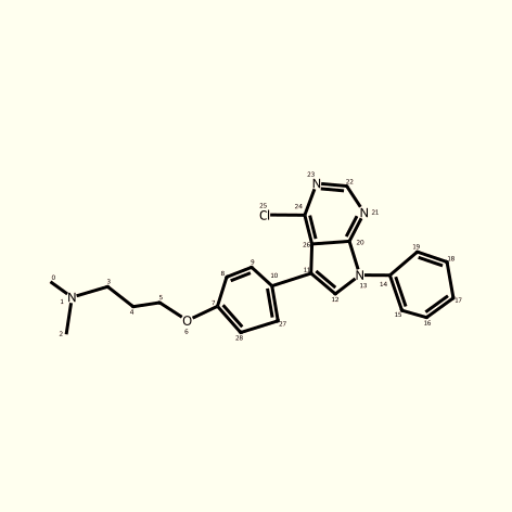 CN(C)CCCOc1ccc(-c2cn(-c3ccccc3)c3ncnc(Cl)c23)cc1